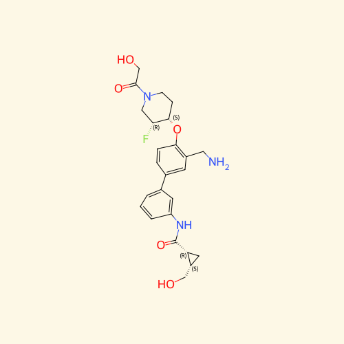 NCc1cc(-c2cccc(NC(=O)[C@@H]3C[C@@H]3CO)c2)ccc1O[C@H]1CCN(C(=O)CO)C[C@H]1F